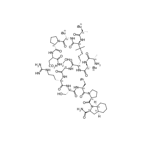 CC[C@H](C)[C@H](C)C(=O)N[C@H](C(=O)N[C@H](C(=O)N1CCC[C@H]1C(=O)NC(CC(=O)O)C(N)=O)[C@@H](C)CC)C(C)(C)SSC[C@H](NC(=O)[C@@H](NC(=O)[C@H](C)N)[C@@H](C)CC)C(=O)N[C@@H](CO)C(=O)N[C@@H](CCCNC(=N)N)C(=O)N[C@@H](CO)C(=O)N[C@@H](CC(C)C)C(=O)N1CCC[C@H]1C(=O)N1[C@H](C(N)=O)C[C@@H]2CCCC[C@@H]21